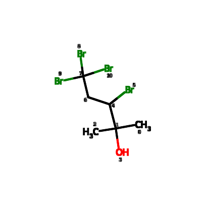 CC(C)(O)C(Br)CC(Br)(Br)Br